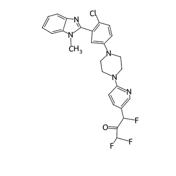 Cn1c(-c2cc(N3CCN(c4ccc(C(F)C(=O)C(F)F)cn4)CC3)ccc2Cl)nc2ccccc21